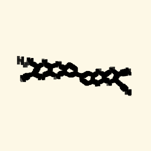 N#Cc1nc2nc3cc(-c4ccc5nc6nc(C#N)c(C#N)nc6nc5c4)ccc3nc2nc1N